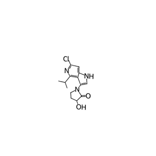 CC(C)c1nc(Cl)cc2[nH]cc(N3CCC(O)C3=O)c12